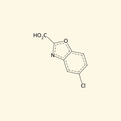 O=C(O)c1nc2cc(Cl)ccc2o1